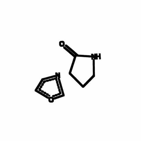 O=C1CCCN1.c1cocn1